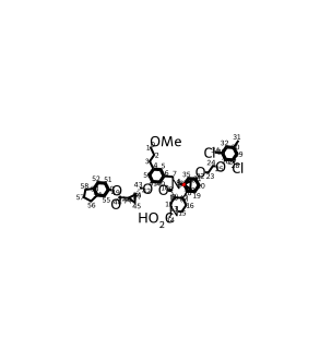 COCCCc1cc(CN(C(=O)[C@H]2CN(C(=O)O)CC[C@@H]2c2ccc(OCCOc3c(Cl)cc(C)cc3Cl)cc2)C2CC2)cc(OC[C@@H]2C[C@H]2C(=O)Oc2ccc3c(c2)CCC3)c1